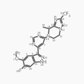 CC(C)Oc1cc2c(-c3cc(N4CCn5nc(C(F)(F)F)nc5C4C)ncn3)n[nH]c2cc1F